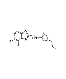 CCCc1csc(NCc2nc3c(F)c(F)ccc3s2)c1